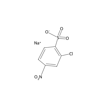 O=[N+]([O-])c1ccc(S(=O)(=O)[O-])c(Cl)c1.[Na+]